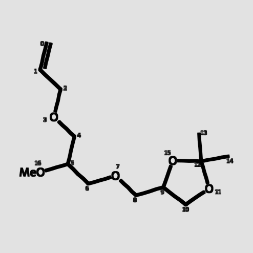 C=CCOCC(COCC1COC(C)(C)O1)OC